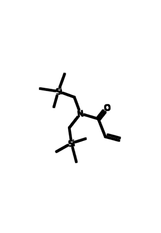 C=CC(=O)N(C[Si](C)(C)C)C[Si](C)(C)C